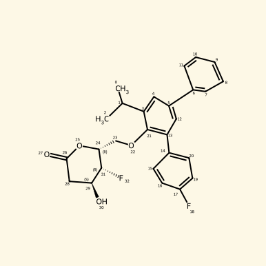 CC(C)c1cc(-c2ccccc2)cc(-c2ccc(F)cc2)c1OC[C@H]1OC(=O)C[C@H](O)[C@H]1F